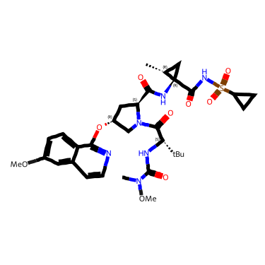 COc1ccc2c(O[C@@H]3C[C@@H](C(=O)N[C@]4(C(=O)NS(=O)(=O)C5CC5)C[C@H]4C)N(C(=O)[C@@H](NC(=O)N(C)OC)C(C)(C)C)C3)nccc2c1